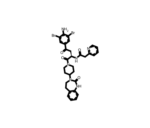 Nc1c(Br)cc(C(=O)C[C@@H](NC(=O)Cc2ccccn2)C(=O)N2CCC(N3CCc4ccccc4NC3=O)CC2)cc1Br